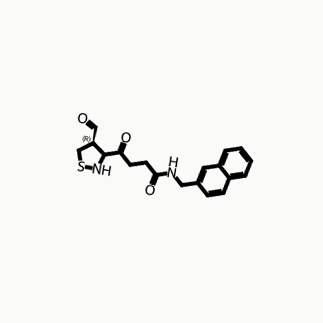 O=C[C@@H]1CSNC1C(=O)CCC(=O)NCc1ccc2ccccc2c1